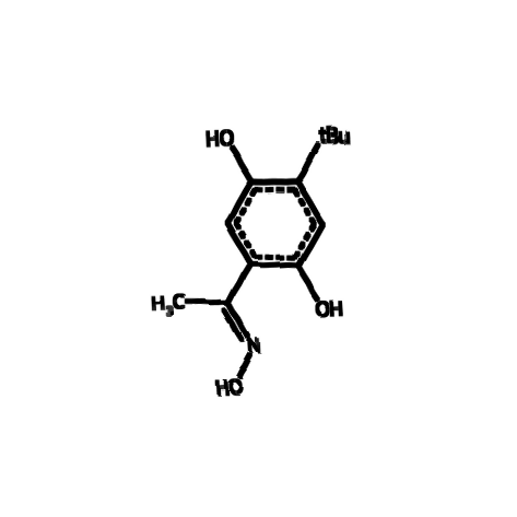 CC(=NO)c1cc(O)c(C(C)(C)C)cc1O